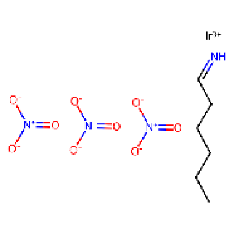 CCCCCC=N.O=[N+]([O-])[O-].O=[N+]([O-])[O-].O=[N+]([O-])[O-].[Ir+3]